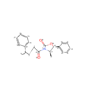 CC(CCC(=O)N1C(=O)O[C@@H](c2ccccc2)[C@H]1C)c1ccccc1